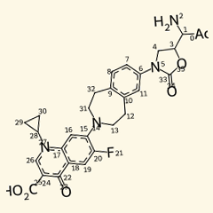 CC(=O)C(N)C1CN(c2ccc3c(c2)CCN(c2cc4c(cc2F)c(=O)c(C(=O)O)cn4C2CC2)CC3)C(=O)O1